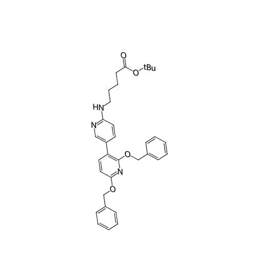 CC(C)(C)OC(=O)CCCCNc1ccc(-c2ccc(OCc3ccccc3)nc2OCc2ccccc2)cn1